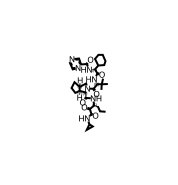 CCC[C@H](NC(=O)[C@H]1[C@H]2CCC[C@@H]2CN1C(=O)[C@H](NC(=O)[C@H](NC(=O)c1cnccn1)C1CCCCC1)C(C)(C)C)C(=O)C(=O)NC1CC1